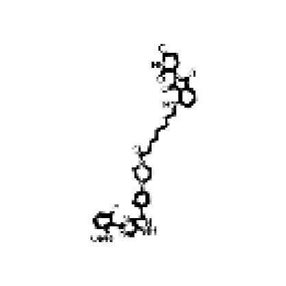 COc1cccc(F)c1-c1ncc2[nH]nc(-c3ccc(N4CCN(C(=O)CCCCCCCNc5cccc6c5C(=O)N(C5CCC(=O)NC5=O)C6=O)CC4)cc3)c2n1